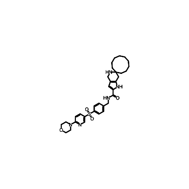 O=C(NCc1ccc(S(=O)(=O)c2ccc(N3CCOCC3)nc2)cc1)c1cc2c([nH]1)CC1(CCCCCCCCC1)NC2